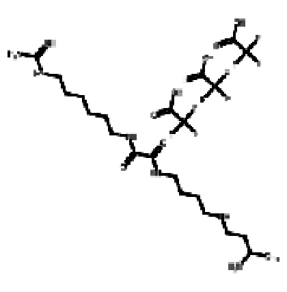 CC(N)CCNCCCCNC(=O)C(=O)NCCCCCCNC(=N)N.O=C(O)C(F)(F)F.O=C(O)C(F)(F)F.O=C(O)C(F)(F)F